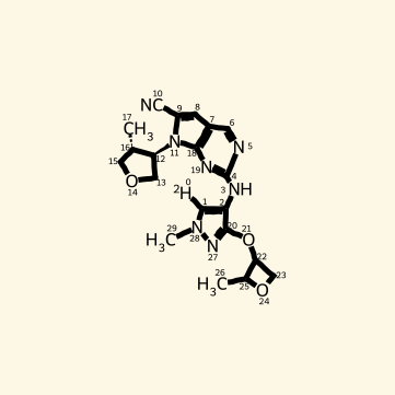 [2H]c1c(Nc2ncc3cc(C#N)n([C@H]4COC[C@@H]4C)c3n2)c(OC2COC2C)nn1C